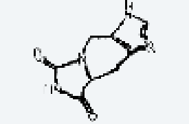 O=C1NC(=O)N2Cc3[nH]cnc3CC12